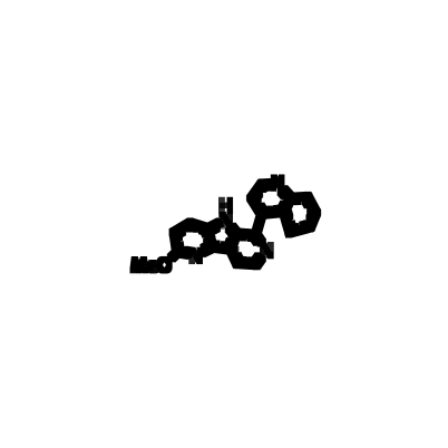 COc1ccc2[nH]c3c(-c4ccnc5ccccc45)nccc3c2n1